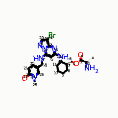 C[C@H](N)C(=O)OC[C@@H]1CCCC[C@@H]1Nc1cc(NCc2ccc(=O)n(C)c2)n2ncc(Br)c2n1